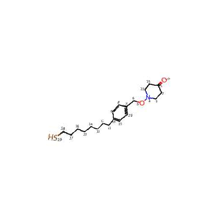 O=C1CCN(OCc2ccc(CCCCCCCCS)cc2)CC1